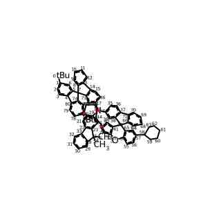 CC(C)(C)c1ccc2c(c1)C1(c3ccccc3-c3ccc(N(c4ccc5c(c4)C(C)(C)c4ccccc4-5)c4ccc5c(c4)C4(c6cc(C7CCCCC7)ccc6Oc6ccc(C7CCCCC7)cc64)c4ccccc4-5)cc31)c1cc(C(C)(C)C)ccc1-2